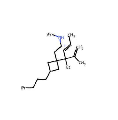 C=C(C)C(/C=C/C)(CC)C1(CCNC(C)C)CC(CCCC(C)C)C1